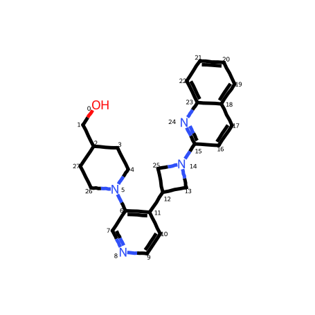 OCC1CCN(c2cnccc2C2CN(c3ccc4ccccc4n3)C2)CC1